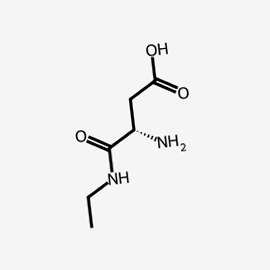 CCNC(=O)[C@@H](N)CC(=O)O